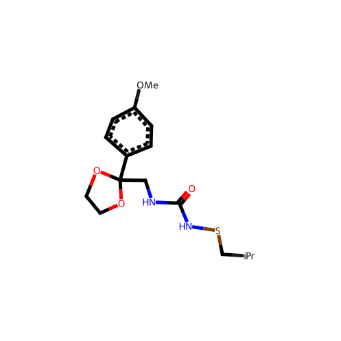 COc1ccc(C2(CNC(=O)NSCC(C)C)OCCO2)cc1